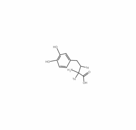 [2H]C(Cc1ccc(O)c(O)c1)C([2H])(N)C(=O)O